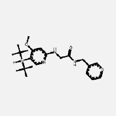 COc1cc(NCC(=O)NCc2cccnc2)ncc1[Si](F)(C(C)(C)C)C(C)(C)C